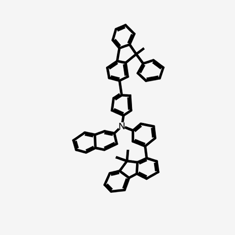 CC1(C)c2ccccc2-c2cccc(-c3cccc(N(c4ccc(-c5ccc6c(c5)C(C)(c5ccccc5)c5ccccc5-6)cc4)c4ccc5ccccc5c4)c3)c21